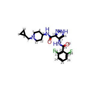 O=C(NC1CCN(CC2CC2)CC1)c1n[nH]cc1NC(=O)c1c(F)cccc1F